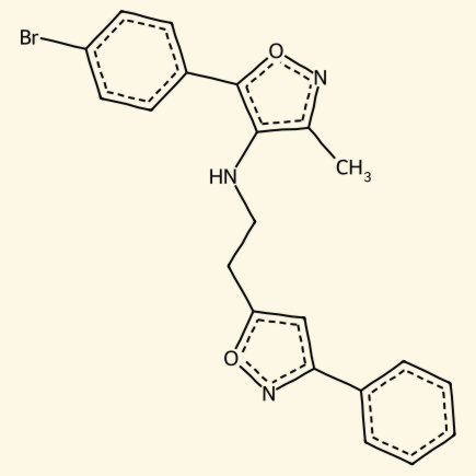 Cc1noc(-c2ccc(Br)cc2)c1NCCc1cc(-c2ccccc2)no1